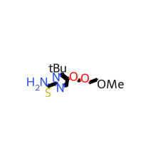 COCCOCOc1cnc(C(N)=S)nc1C(C)(C)C